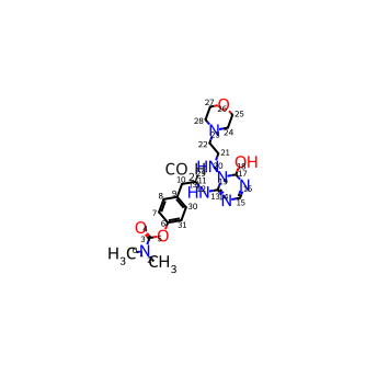 CN(C)C(=O)Oc1ccc(C[C@H](NC2=NC=NC(O)N2NCCN2CCOCC2)C(=O)O)cc1